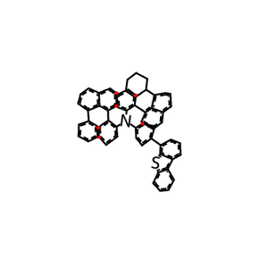 c1ccc(-c2cccc3cccc(-c4ccccc4N(c4ccc(-c5cccc6c5sc5ccccc56)cc4)c4ccccc4-c4cccc5cccc(C6CCCCC6)c45)c23)cc1